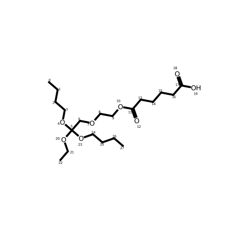 CCCCOC(COCCOC(=O)CCCCC(=O)O)(OCC)OCCCC